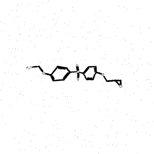 CCOc1ccc(S(=O)(=O)c2ccc(OCC3CO3)cc2)cc1